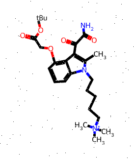 Cc1c(C(=O)C(N)=O)c2c(OCC(=O)OC(C)(C)C)cccc2n1CCCCC[N+](C)(C)C